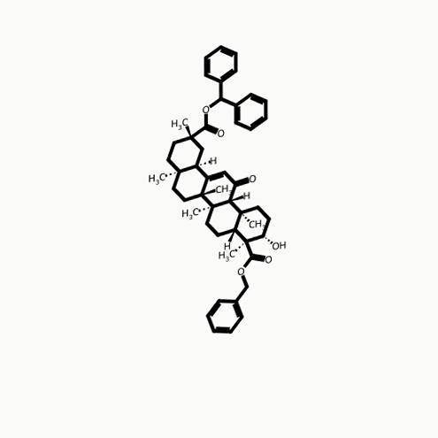 C[C@]1(C(=O)OC(c2ccccc2)c2ccccc2)CC[C@]2(C)CC[C@]3(C)C(=CC(=O)[C@@H]4[C@@]5(C)CC[C@H](O)[C@@](C)(C(=O)OCc6ccccc6)[C@@H]5CC[C@]43C)[C@@H]2C1